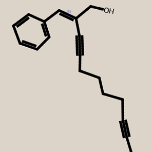 OC/C(C#CCCCCC#CI)=C/c1ccccc1